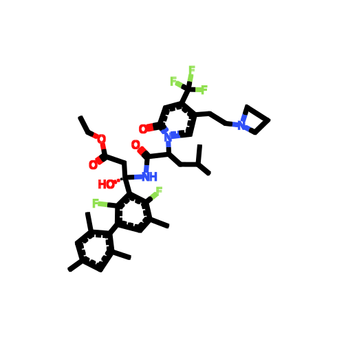 CCOC(=O)C[C@@](O)(NC(=O)C(CC(C)C)n1cc(CCN2CCC2)c(C(F)(F)F)cc1=O)c1c(F)c(C)cc(-c2c(C)cc(C)cc2C)c1F